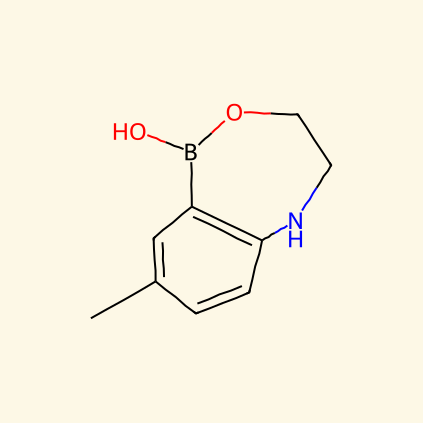 Cc1ccc2c(c1)B(O)OCCN2